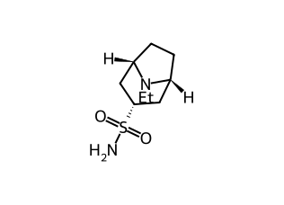 CCN1[C@@H]2CC[C@H]1C[C@@H](S(N)(=O)=O)C2